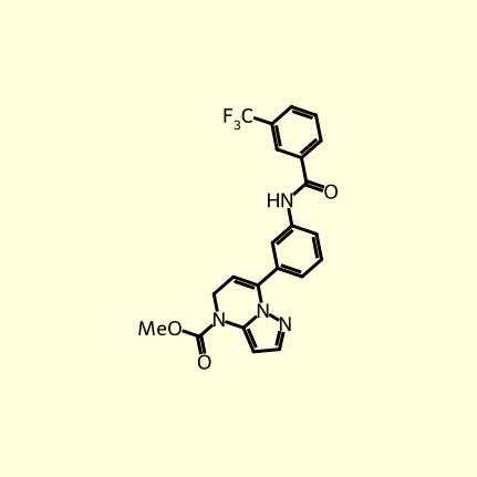 COC(=O)N1CC=C(c2cccc(NC(=O)c3cccc(C(F)(F)F)c3)c2)n2nccc21